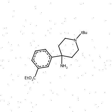 CCOC(=O)c1cccc(C2(N)CCN(C(C)(C)C)CC2)c1